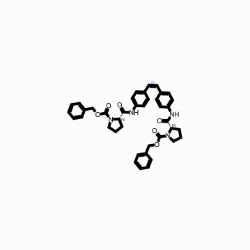 O=C(Nc1ccc(/C=C\c2ccc(NC(=O)[C@@H]3CCCN3C(=O)OCc3ccccc3)cc2)cc1)[C@@H]1CCCN1C(=O)OCc1ccccc1